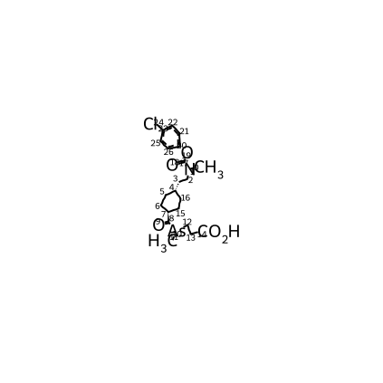 CN(CC[C@H]1CC[C@H](C(=O)[As](C)CCC(=O)O)CC1)C(=O)Oc1ccc(Cl)cc1